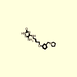 Nc1n[nH]c(=O)nc1NCC=CCOc1cccc(CN2CCCC2)c1